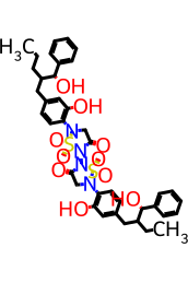 CCCC(Cc1ccc(N2CC(=O)N(N3C(=O)CN(c4ccc(CC(CC)C(O)c5ccccc5)cc4O)S3(=O)=O)S2(=O)=O)c(O)c1)C(O)c1ccccc1